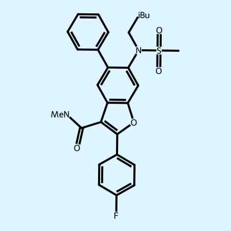 CCC(C)CN(c1cc2oc(-c3ccc(F)cc3)c(C(=O)NC)c2cc1-c1ccccc1)S(C)(=O)=O